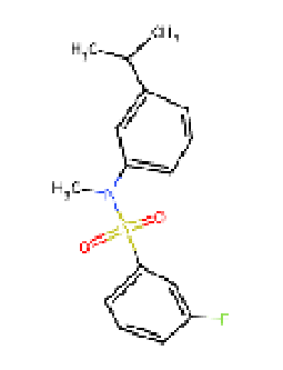 CC(C)c1cccc(N(C)S(=O)(=O)c2cccc(F)c2)c1